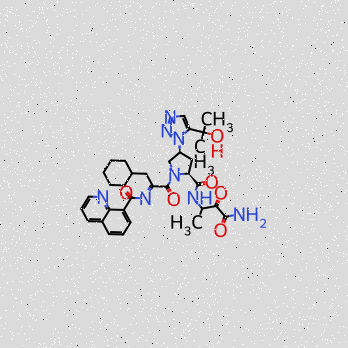 CC(NC(=O)[C@@H]1C[C@H](n2nncc2C(C)(C)O)CN1C(=O)/C(CC1CCCCC1)=N/C(=O)c1cccc2cccnc12)C(=O)C(N)=O